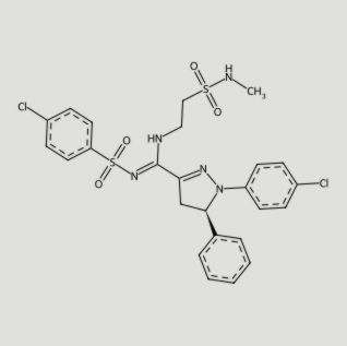 CNS(=O)(=O)CCN/C(=N\S(=O)(=O)c1ccc(Cl)cc1)C1=NN(c2ccc(Cl)cc2)[C@@H](c2ccccc2)C1